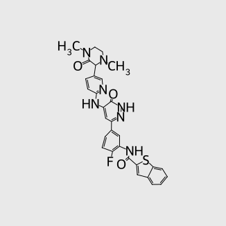 CN1CCN(C)C(c2ccc(Nc3cc(-c4ccc(F)c(NC(=O)c5cc6ccccc6s5)c4)n[nH]c3=O)nc2)C1=O